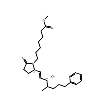 COC(=O)CCCCCCN1C(=O)CC[C@@H]1C=C[C@H](O)C(C)CCCc1ccccc1